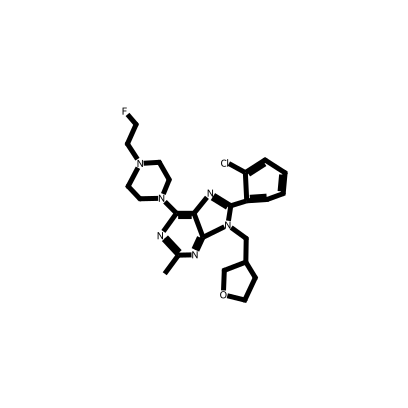 Cc1nc(N2CCN(CCF)CC2)c2nc(-c3ccccc3Cl)n(CC3CCOC3)c2n1